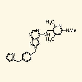 CNc1cc(C)c(CNc2ncnc3nn(Cc4ccc(Cn5cccn5)cc4)cc23)c(C)n1